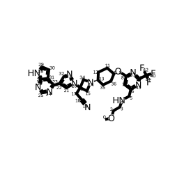 COCCNCc1cc(O[C@H]2CC[C@@H](N3CC(CC#N)(n4cc(-c5ncnc6[nH]ccc56)cn4)C3)CC2)nc(C(F)(F)F)n1